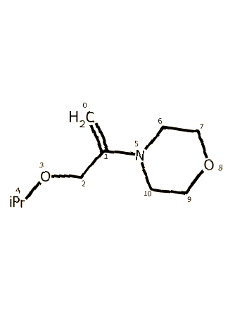 C=C(COC(C)C)N1CCOCC1